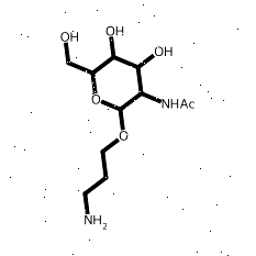 CC(=O)NC1C(OCCCN)OC(CO)C(O)C1O